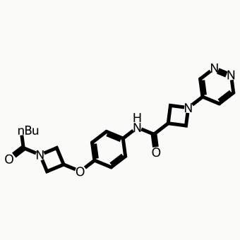 CCCCC(=O)N1CC(Oc2ccc(NC(=O)C3CN(c4ccnnc4)C3)cc2)C1